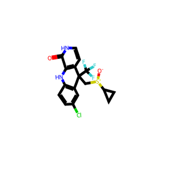 O=c1[nH]ccc2c1Nc1ccc(Cl)cc1C2(C[S+]([O-])C1CC1)C(F)(F)F